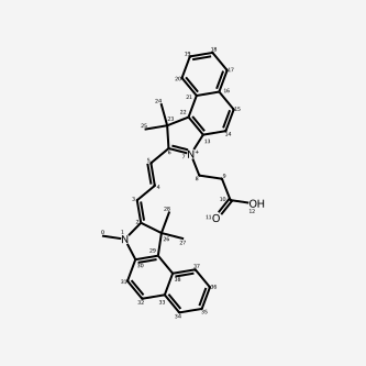 CN1/C(=C/C=C/C2=[N+](CCC(=O)O)c3ccc4ccccc4c3C2(C)C)C(C)(C)c2c1ccc1ccccc21